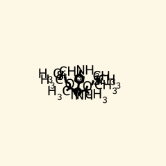 CC(OCC[Si](C)(C)C)c1n[nH]c(C(C)OCC[Si](C)(C)C)c1-c1ccc(N)cc1